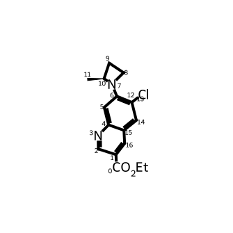 CCOC(=O)c1cnc2cc(N3CC[C@@H]3C)c(Cl)cc2c1